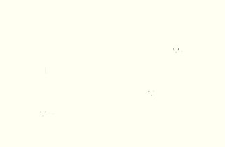 COC([SiH3])=Cc1cccc(OC)c1OC